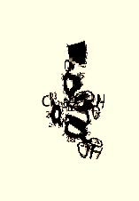 CC#CCOc1ccc(S(=O)(=O)NC(Cc2cn(Cc3ccc(Cl)cc3)c3ccc(C(=O)O)cc23)C(=O)O)cc1